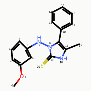 COc1cccc(Nn2c(-c3ccccc3)c(C)[nH]c2=S)c1